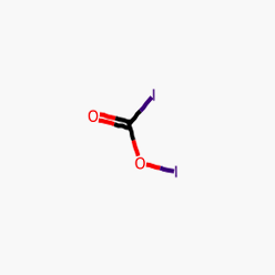 O=C(I)OI